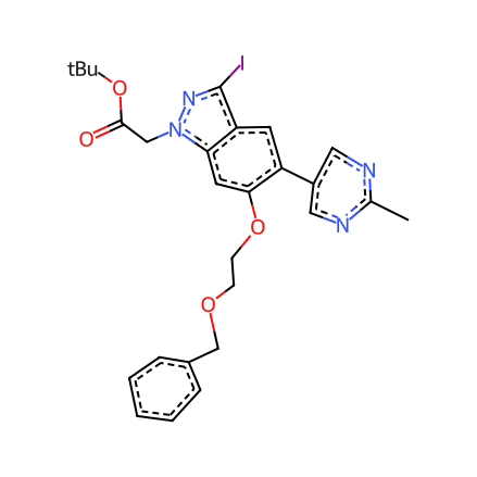 Cc1ncc(-c2cc3c(I)nn(CC(=O)OC(C)(C)C)c3cc2OCCOCc2ccccc2)cn1